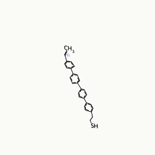 C/C=C/c1ccc(-c2ccc(-c3ccc(-c4ccc(CCS)cc4)cc3)cc2)cc1